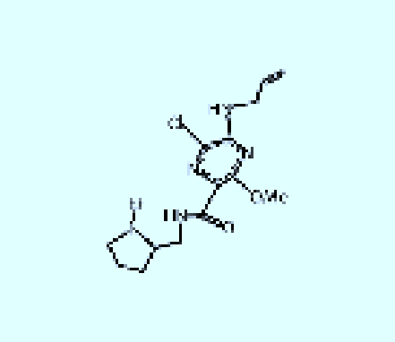 C=CCNc1nc(OC)c(C(=O)NCC2CCCN2CC)nc1Cl